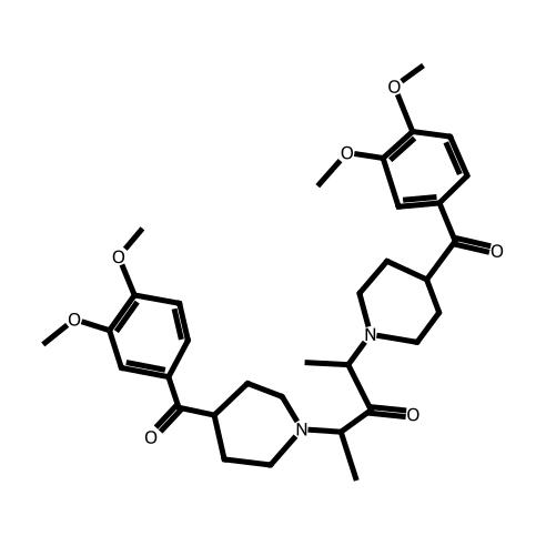 COc1ccc(C(=O)C2CCN(C(C)C(=O)C(C)N3CCC(C(=O)c4ccc(OC)c(OC)c4)CC3)CC2)cc1OC